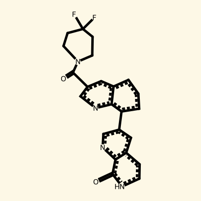 O=C(c1cnc2c(-c3cnc4c(=O)[nH]ccc4c3)cccc2c1)N1CCC(F)(F)CC1